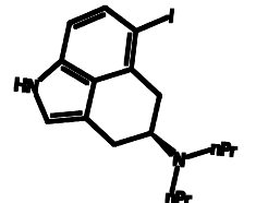 CCCN(CCC)[C@H]1Cc2c[nH]c3ccc(I)c(c23)C1